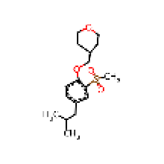 CC(C)Cc1ccc(OCC2CCOCC2)c(S(C)(=O)=O)c1